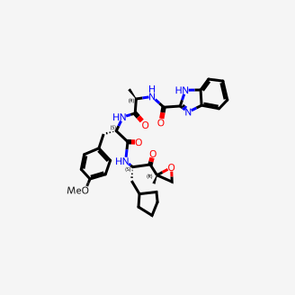 COc1ccc(C[C@H](NC(=O)[C@@H](C)NC(=O)c2nc3ccccc3[nH]2)C(=O)N[C@@H](CC2CCCC2)C(=O)[C@@]2(C)CO2)cc1